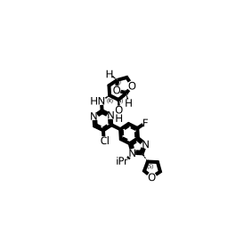 CC(C)n1c([C@@H]2CCOC2)nc2c(F)cc(-c3nc(N[C@@H]4C[C@H]5CO[C@H](O5)[C@H]4O)ncc3Cl)cc21